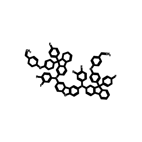 C=Cc1ccc(Oc2ccc(C3(C4=CCC(F)C=C4)C4=C(C=CC(N(c5ccc(F)c(F)c5)c5ccc6c(c5)C5C=C(N(C7=CC8C(C=C7)C7C=CCCC7C8(c7ccc(F)cc7)C7CC=C(OC8C=CC(C=C)CC8)CC7)c7ccc(F)c(F)c7)C=CC5O6)C4)C4C=CC=CC43)cc2)cc1